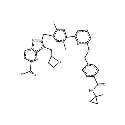 CC1(NC(=O)c2ccc(COc3cccc(-c4cc(F)c(Cc5nc6ccc(C(=O)O)cc6n5C[C@@H]5CCO5)cc4F)n3)cn2)CC1